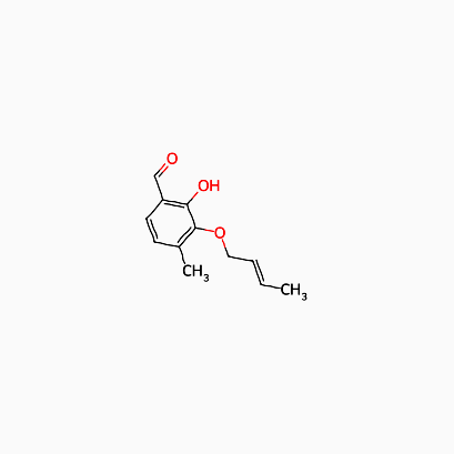 CC=CCOc1c(C)ccc(C=O)c1O